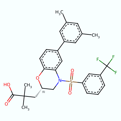 Cc1cc(C)cc(-c2ccc3c(c2)N(S(=O)(=O)c2cccc(C(F)(F)F)c2)C[C@H](CC(C)(C)C(=O)O)O3)c1